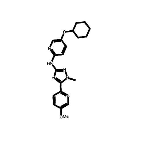 COc1ccc(-c2nc(Nc3ccc(OC4CCCCC4)cn3)nn2C)nc1